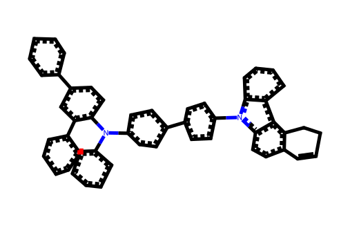 C1=Cc2ccc3c(c2CC1)c1ccccc1n3-c1ccc(-c2ccc(N(c3ccccc3)c3ccc(-c4ccccc4)cc3-c3ccccc3)cc2)cc1